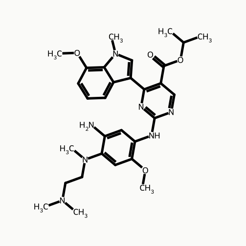 COc1cc(N(C)CCN(C)C)c(N)cc1Nc1ncc(C(=O)OC(C)C)c(-c2cn(C)c3c(OC)cccc23)n1